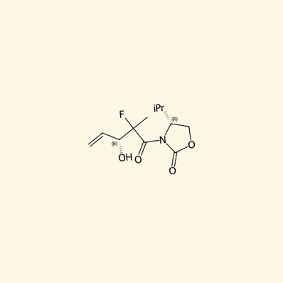 C=C[C@@H](O)C(C)(F)C(=O)N1C(=O)OC[C@H]1C(C)C